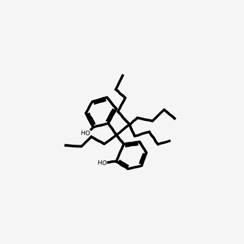 CCCCC(CCCC)(CCCC)C(CCCC)(c1ccccc1O)c1ccccc1O